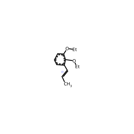 C/C=C/c1cccc(OCC)c1OCC